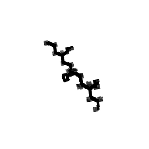 CCCC(F)CC[S+]([O-])CCC(F)CCC